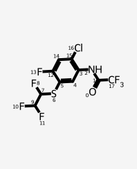 O=C(Nc1cc(SC(F)C(F)F)c(F)cc1Cl)C(F)(F)F